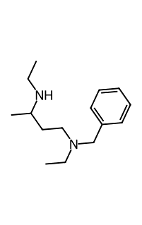 CCNC(C)CCN(CC)Cc1ccccc1